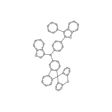 c1ccc(-c2c(-c3ccc(N(c4ccc5c(c4)-c4ccccc4C54c5ccccc5Oc5ccccc54)c4coc5ccccc45)cc3)oc3ccccc23)cc1